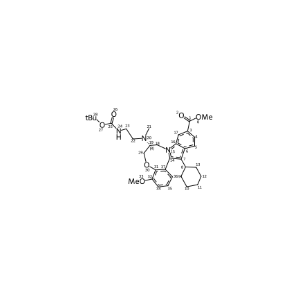 COC(=O)c1ccc2c(C3CCCCC3)c3n(c2c1)C[C@@H](N(C)CCNC(=O)OC(C)(C)C)COc1c(OC)cccc1-3